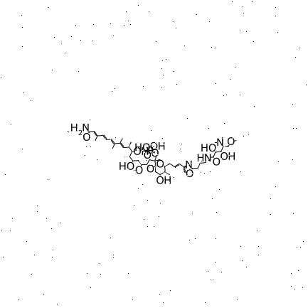 COC[C@@H]([C@H](O)[C@H](O)C(=O)NCC[C@H](C)c1nc(/C=C/C[C@@H]2O[C@]3(C[C@@H](O)[C@@H]2C)O[C@H]([C@H](C[C@H](O)[C@H](C)[C@H](O)[C@H](C)/C=C(C)/C(C)=C/C=C/C(C)=C/C(N)=O)OC)[C@H](OP(=O)(O)O)C3(C)C)co1)N(C)C